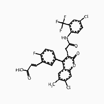 Cc1cc2c(-c3ccc(F)c(/C=C/C(=O)O)c3)c(CC(=O)Nc3ccc(Cl)cc3C(F)(F)F)c(=O)oc2cc1Cl